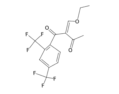 CCOC=C(C(C)=O)C(=O)c1ccc(C(F)(F)F)cc1C(F)(F)F